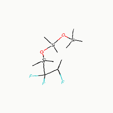 CC(F)C(F)(F)[Si](C)(C)O[Si](C)(C)O[Si](C)(C)C